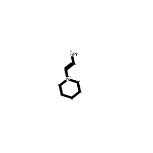 CCCC=CN1CCCCC1